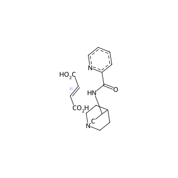 O=C(NC1CN2CCC1CC2)c1ccccn1.O=C(O)/C=C/C(=O)O